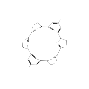 Cc1cc2cc(c1)C1COC(=N1)C1=NC(CO1)c1cc(C)cc(c1)C1COC(=N1)C1=NC2CO1